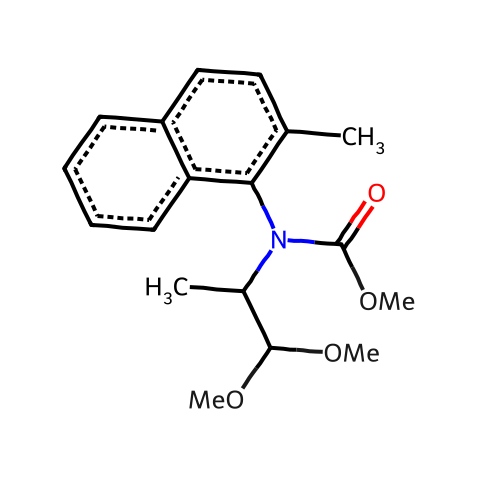 COC(=O)N(c1c(C)ccc2ccccc12)C(C)C(OC)OC